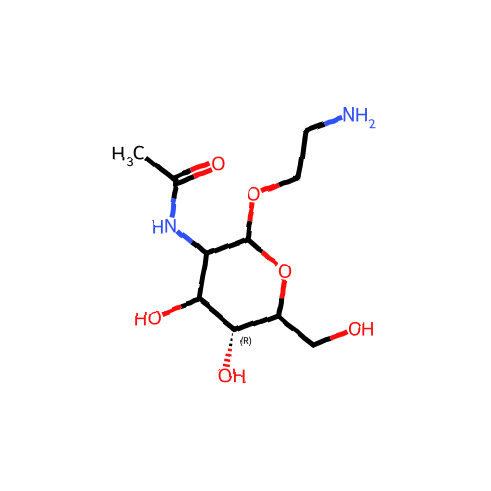 CC(=O)NC1C(OCCN)OC(CO)[C@H](O)C1O